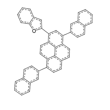 c1ccc2cc(-c3ccc4ccc5c(-c6ccc7ccccc7c6)cc(-c6cc7ccccc7o6)c6ccc3c4c56)ccc2c1